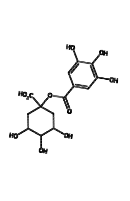 O=C(OC1(C(=O)O)CC(O)C(O)C(O)C1)c1cc(O)c(O)c(O)c1